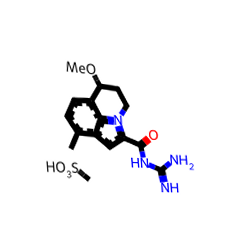 COC1CCn2c(C(=O)NC(=N)N)cc3c(C)ccc1c32.CS(=O)(=O)O